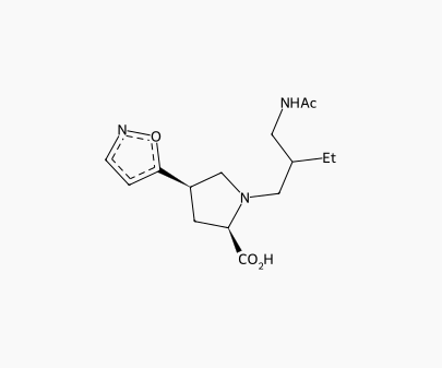 CCC(CNC(C)=O)CN1C[C@H](c2ccno2)C[C@@H]1C(=O)O